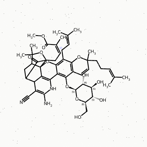 COC(=O)/C(C)=C\CC12OC(C)(C)C3CC(C1=O)C1C(C#N)=C(N)NC4=C1C32Oc1c(CC=C(C)C)c2c(c(O[C@@H]3O[C@H](CO)[C@@H](O)[C@H](O)[C@H]3O)c14)C=CC(C)(CCC=C(C)C)O2